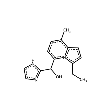 CCc1ccc2c(C)ccc(C(O)c3ncc[nH]3)n12